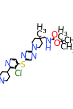 CC1(CNC(=O)OC(C)(C)C)CCN(c2cnc(Sc3ccnc(C4CCNCC4)c3Cl)cn2)CC1